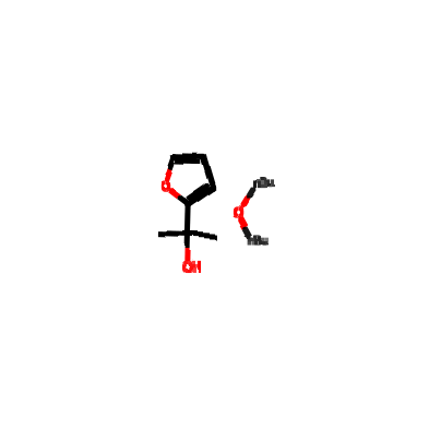 CC(C)(O)c1ccco1.CCCCOCCCC